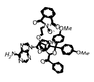 COc1ccc(C(OC(C(=O)c2ccccc2)[C@H]2O[C@@H](n3cnc4c(N)ncnc43)[C@H](OCC[N+]3([O-])C(=O)c4ccccc4C3=O)[C@@H]2O)(c2ccccc2)c2ccc(OC)cc2)cc1